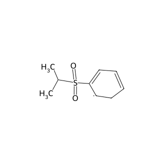 CC(C)S(=O)(=O)C1=CC=CC[CH]1